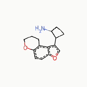 NC1CCC1c1coc2ccc3c(c12)CCCO3